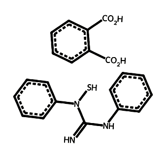 N=C(Nc1ccccc1)N(S)c1ccccc1.O=C(O)c1ccccc1C(=O)O